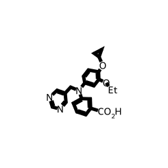 CCOc1cc(N(Cc2cncnc2)c2cccc(C(=O)O)c2)ccc1OC1CC1